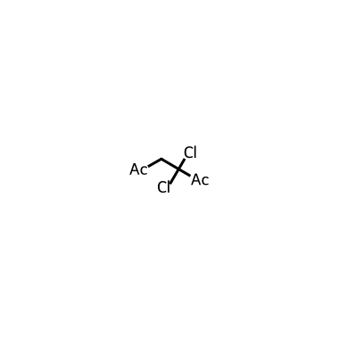 CC(=O)CC(Cl)(Cl)C(C)=O